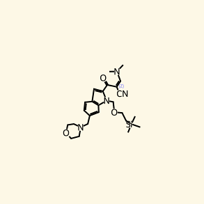 CN(C)/C=C(/C#N)C(=O)c1cc2ccc(CN3CCOCC3)cc2n1COCC[Si](C)(C)C